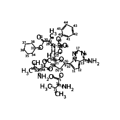 CC(C)[C@@H](N)C(=O)O[C@H]1[C@H](c2ccc3c(N)ncnn23)O[C@](C)(CO[P@@](=O)(N[C@@H](C)C(=O)OC2CCCCC2)Oc2ccccc2)[C@H]1OC(=O)[C@H](N)C(C)C